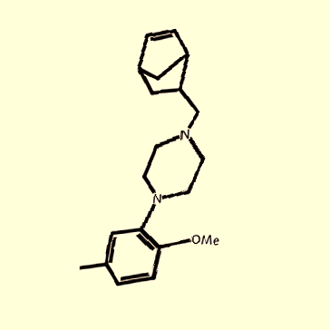 COc1ccc(C)cc1N1CCN(CC2CC3C=CC2C3)CC1